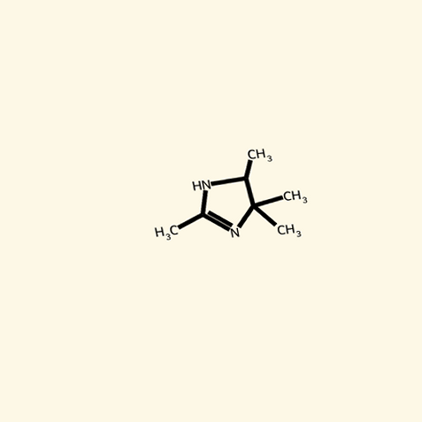 CC1=NC(C)(C)C(C)N1